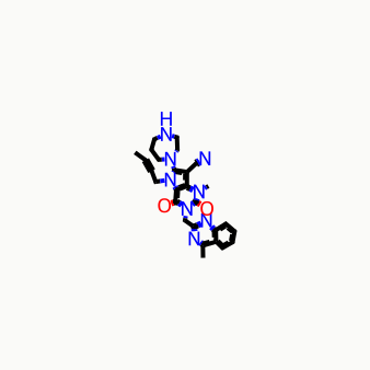 CC#CCn1c(N2CCCNCC2)c(C#N)c2c1c(=O)n(Cc1nc(C)c3ccccc3n1)c(=O)n2C